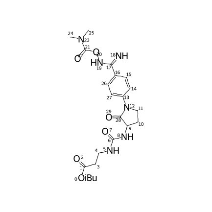 CC(C)COC(=O)CCNC(=O)NC1CCN(c2ccc(C(=N)NOC(=O)N(C)C)cc2)C1=O